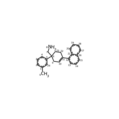 Cc1cccc(C2(CN)CC=C(c3cccc4ccccc34)CC2)c1